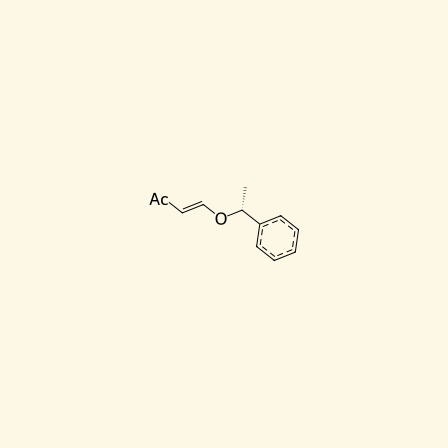 CC(=O)C=CO[C@H](C)c1ccccc1